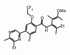 CC/C(C)=C(NC(=O)c1cc(F)c(-c2cnc(C)c(CC)n2)cc1OCC(F)(F)F)\C(C)=C(/C)OC